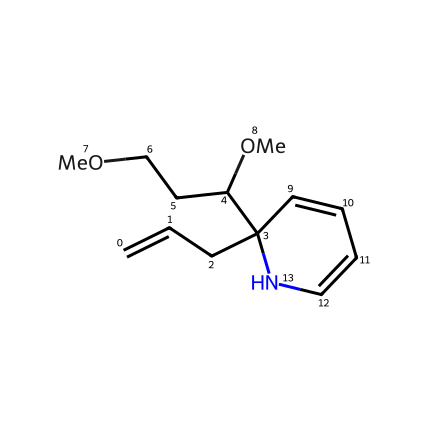 C=CCC1(C(CCOC)OC)C=CC=CN1